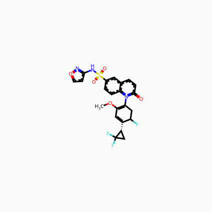 COC1=C(n2c(=O)ccc3cc(S(=O)(=O)Nc4ccon4)ccc32)CC(F)C([C@@H]2CC2(F)F)=C1